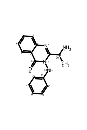 C[C@H](N)c1nc2ccccc2c(=O)n1Nc1ccccc1